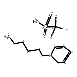 CCCCCCN1C=CC=CC1.O=S(=O)(O)C(F)(F)F